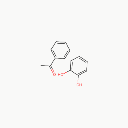 CC(=O)c1ccccc1.Oc1ccccc1O